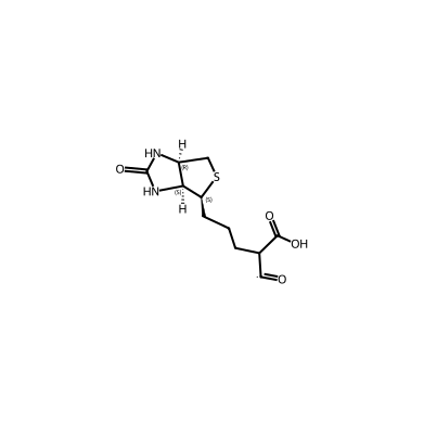 O=[C]C(CCC[C@@H]1SC[C@@H]2NC(=O)N[C@@H]21)C(=O)O